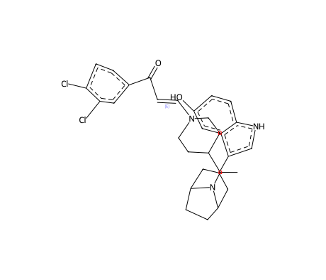 CC(C1CCN(/C=C/C(=O)c2ccc(Cl)c(Cl)c2)CC1)N1C2CCC1CC(c1c[nH]c3ccc(O)cc13)C2